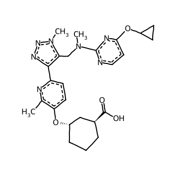 Cc1nc(-c2nnn(C)c2CN(C)c2nccc(OC3CC3)n2)ccc1O[C@H]1CCC[C@H](C(=O)O)C1